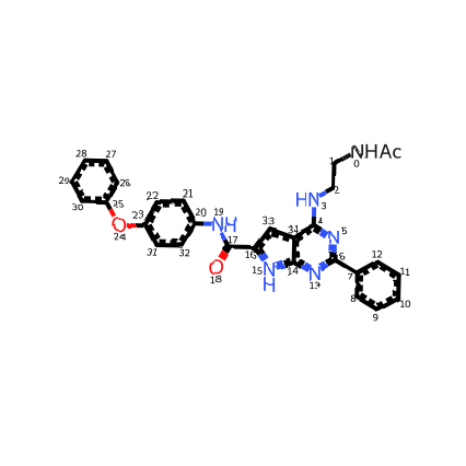 CC(=O)NCCNc1nc(-c2ccccc2)nc2[nH]c(C(=O)Nc3ccc(Oc4ccccc4)cc3)cc12